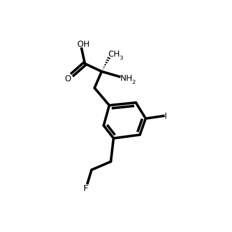 C[C@](N)(Cc1cc(I)cc(CCF)c1)C(=O)O